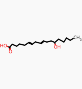 CCCCCC(O)CCC=CCC=CCCCCC(=O)O